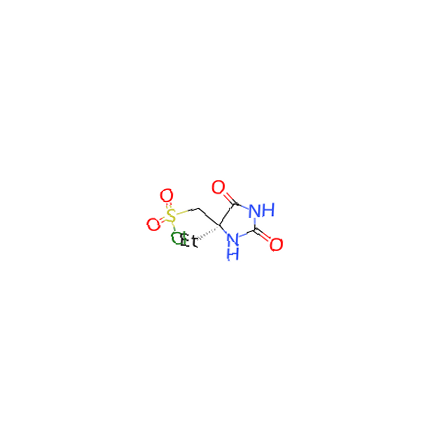 CC[C@@]1(CS(=O)(=O)Cl)NC(=O)NC1=O